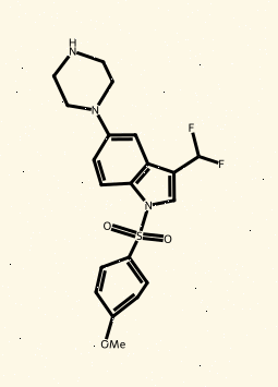 COc1ccc(S(=O)(=O)n2cc(C(F)F)c3cc(N4CCNCC4)ccc32)cc1